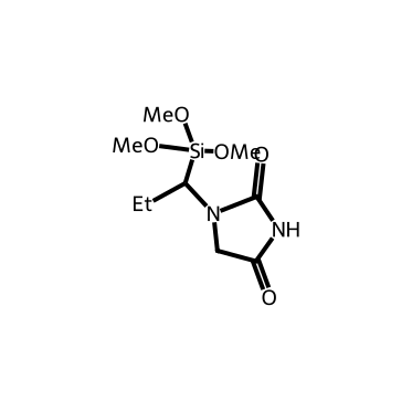 CCC(N1CC(=O)NC1=O)[Si](OC)(OC)OC